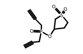 C#CCP(=O)(CC#C)OC1CCS(=O)(=O)C1